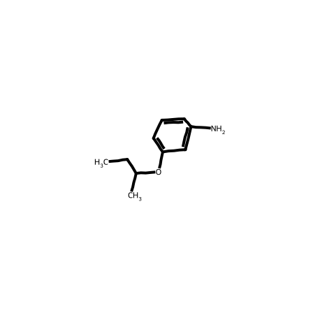 CCC(C)Oc1cccc(N)c1